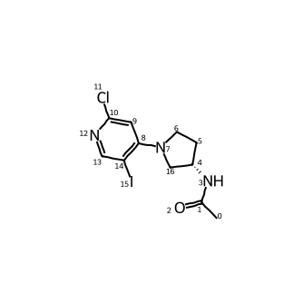 CC(=O)N[C@H]1CCN(c2cc(Cl)ncc2I)C1